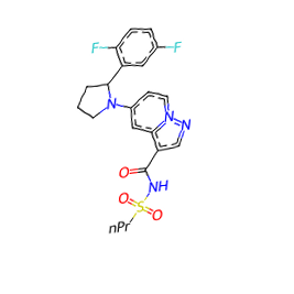 CCCS(=O)(=O)NC(=O)c1cnn2ccc(N3CCCC3c3cc(F)ccc3F)cc12